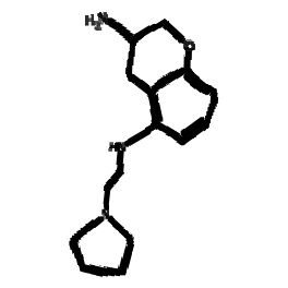 NC1COc2cccc(NCCN3CCCC3)c2C1